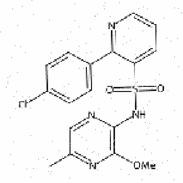 COc1nc(C)cnc1NS(=O)(=O)c1cccnc1-c1ccc(Cl)cc1